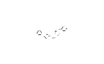 C[C@@H](C(=O)Nc1cnc(Oc2ccc(F)c(F)c2)cn1)N1CCN(C(=O)c2ccc(=O)[nH]c2)C(C)(C)C1